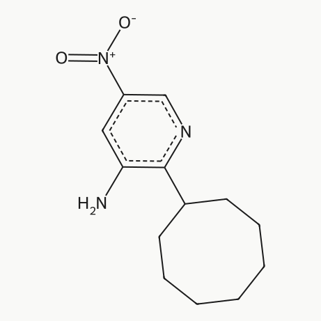 Nc1cc([N+](=O)[O-])cnc1C1CCCCCCC1